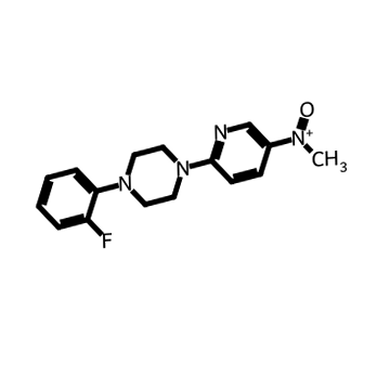 C[N+](=O)c1ccc(N2CCN(c3ccccc3F)CC2)nc1